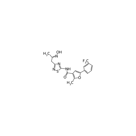 CC(Cc1nsc(NC(=O)c2cc(-c3cccc(C(F)(F)F)c3)oc2C)n1)=NO